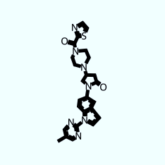 Cc1cnc(-n2ccc3cc(N4CC(N5CCN(C(=O)c6nccs6)CC5)CC4=O)ccc32)nc1